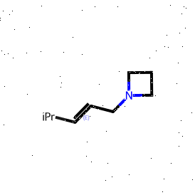 CC(C)/C=C/CN1CCC1